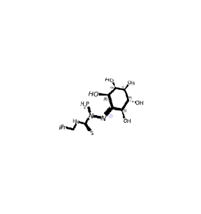 CC(C)CNC(=S)N(P)/N=C1\[C@@H](O)[C@@H](O)[C@@H](O)[C@H](O)[C@H]1O